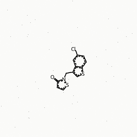 O=c1ccsn1Cc1csc2ccc(Cl)cc12